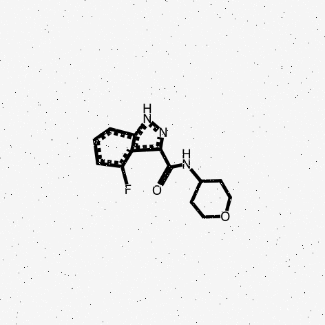 O=C(NC1CCOCC1)c1n[nH]c2cccc(F)c12